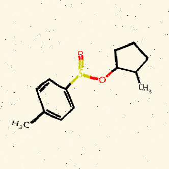 Cc1ccc(S(=O)OC2CCCC2C)cc1